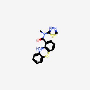 CN(C(=O)c1cccc2c1Nc1ccccc1S2)c1nncs1